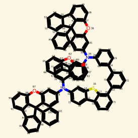 c1ccc(C23c4ccc(N(c5ccc6c(c5)sc5c(-c7cccc(-c8cccc(N(c9ccc%10c(c9)Oc9cccc%11c9C%10(c9ccccc9)c9ccccc9-%11)c9cccc%10c9oc9ccccc9%10)c8)c7)cccc56)c5cccc6ccccc56)cc4Oc4cccc(c42)-c2ccccc23)cc1